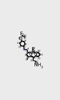 CC1=CC(/C=C/c2ccc(OC(F)F)cc2)=[N+]2B(F)n3cccc3C(CCN)=C12